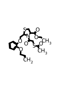 C=CCOc1ccccc1OCC1SCC(C(=O)OCC)N1C(=O)CSC(C)=O